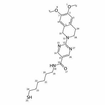 COc1cc2c(cc1OC)CN(c1ncc(C(=O)NCCCCCCS)cn1)CC2